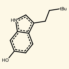 CC(C)(C)CCc1c[nH]c2cc(O)ccc12